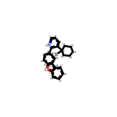 BC1(c2cccnc2-c2ccc3oc4ccccc4c3c2)CCCCC1